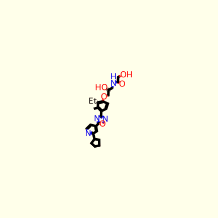 CCc1c(OC[C@@H](O)CNC(=O)CO)ccc(-c2noc(-c3ccnc(C4CCCC4)c3)n2)c1C